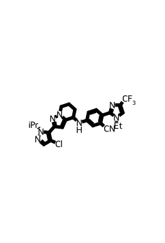 CCn1cc(C(F)(F)F)nc1-c1ccc(NC2CCCn3nc(-c4c(Cl)cnn4C(C)C)cc32)cc1C#N